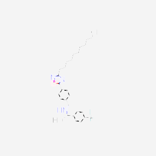 CCCCCCCCCCCc1noc(-c2ccc(CN[C@@H](C)c3ccc(C(F)(F)F)cc3)cc2)n1